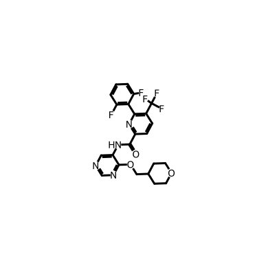 O=C(Nc1cncnc1OCC1CCOCC1)c1ccc(C(F)(F)F)c(-c2c(F)cccc2F)n1